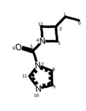 CCC1CN(C(=O)n2ccnc2)C1